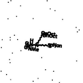 CCCCCCCCCSSCCCCCCCN(CCCCCCCC(=O)OC(CCCCCCCC)CCCCCCCC)CCCNc1c(NC)c(=O)c1=O